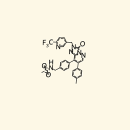 Cc1ccc(-c2cnn3c(=O)n(Cc4ccc(C(F)(F)F)nc4)nc3c2-c2ccc(CNS(C)(=O)=O)cc2)cc1